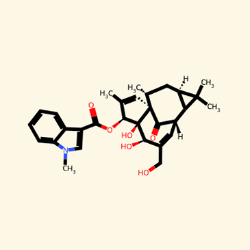 CC1=C[C@]23C(=O)[C@@H](C=C(CO)[C@@H](O)[C@]2(O)[C@H]1OC(=O)c1cn(C)c2ccccc12)C1[C@@H](C[C@H]3C)C1(C)C